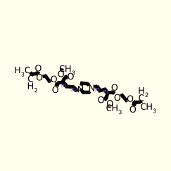 C=C(C)C(=O)OCCOC(=O)/C(=C/C=C/N1CCN(/C=C/C=C(\C(=O)OC)C(=O)OCCOC(=O)C(=C)C)CC1)C(=O)OC